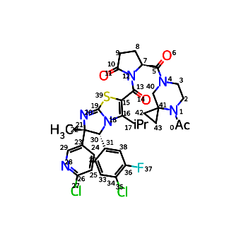 CC(=O)N1CCN(C(=O)[C@@H]2CCC(=O)N2C(=O)C2=C(C(C)C)N3C(=N[C@@](C)(c4ccc(Cl)nc4)[C@H]3c3ccc(Cl)c(F)c3)S2)CC12CC2